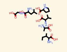 CC(C)C(N)C(=O)O.CC(C)CC(N)C(=O)O.CC(N)C(=O)O.CCC(C)C(N)C(=O)O.NCC(=O)O.O=C(O)C1CCCN1